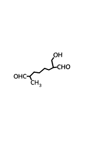 CC(C=O)CCCCC(C=O)CO